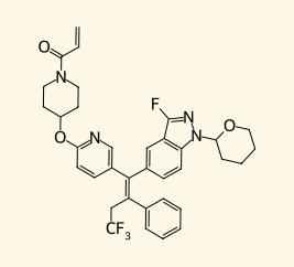 C=CC(=O)N1CCC(Oc2ccc(C(=C(CC(F)(F)F)c3ccccc3)c3ccc4c(c3)c(F)nn4C3CCCCO3)cn2)CC1